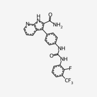 NC(=O)c1[nH]c2ncccc2c1-c1ccc(NC(=O)Nc2cccc(C(F)(F)F)c2F)cc1